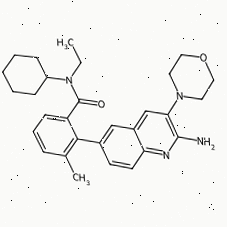 CCN(C(=O)c1cccc(C)c1-c1ccc2nc(N)c(N3CCOCC3)cc2c1)C1CCCCC1